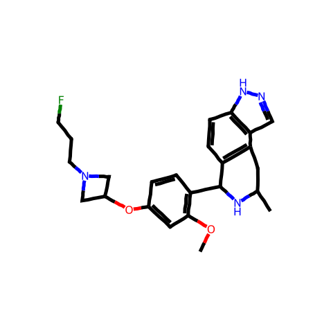 COc1cc(OC2CN(CCCF)C2)ccc1C1NC(C)Cc2c1ccc1[nH]ncc21